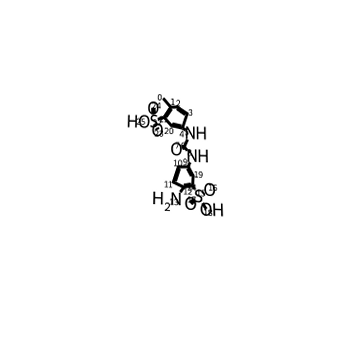 Cc1ccc(NC(=O)Nc2ccc(N)c(S(=O)(=O)O)c2)cc1S(=O)(=O)O